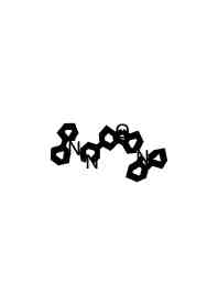 c1ccc2c(c1)c1ccccc1n2-c1cncc(-c2ccc3oc4ccc(-n5c6ccccc6c6ccccc65)cc4c3c2)c1